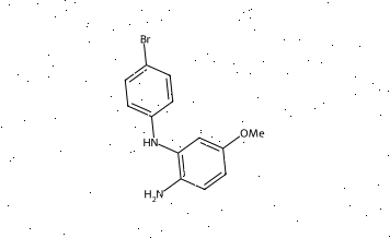 COc1ccc(N)c(Nc2ccc(Br)cc2)c1